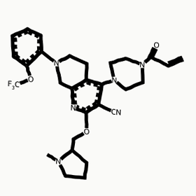 C=CC(=O)N1CCN(c2c(C#N)c(OCC3CCCN3C)nc3c2CCN(c2ccccc2OC(F)(F)F)C3)CC1